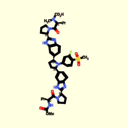 COC(=O)N[C@H](C(=O)N1CCC[C@H]1c1nc2ccc([C@H]3CC[C@H](c4ccc5nc([C@@H]6CCCN6C(=O)[C@H](C(C)C)N(C)C(=O)O)[nH]c5c4)N3c3ccc(S(C)(=O)=O)c(F)c3)cc2[nH]1)C(C)C